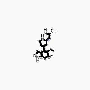 CNC(=N)/C=C1/C=C(c2c(SC)c(F)cc3[nH]ncc23)C=CN1